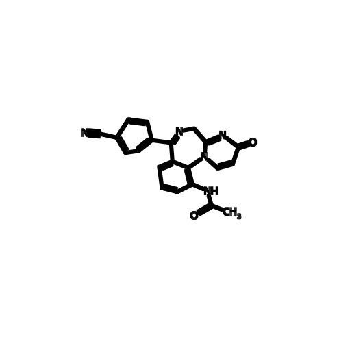 CC(=O)Nc1cccc2c1-n1ccc(=O)nc1CN=C2c1ccc(C#N)cc1